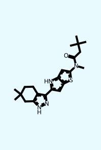 CN(C(=O)CC(C)(C)C)c1cc2[nH]c(-c3n[nH]c4c3CCC(C)(C)C4)cc2s1